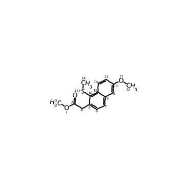 COC(=O)Cc1ccc2cc(OC)ccc2c1SC